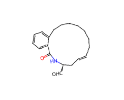 O=C[C@@H]1C/C=C/CCCCCCCc2ccccc2C(=O)N1